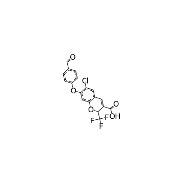 O=Cc1ccc(Oc2cc3c(cc2Cl)C=C(C(=O)O)C(C(F)(F)F)O3)cc1